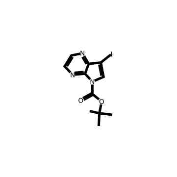 CC(C)(C)OC(=O)n1cc(I)c2nccnc21